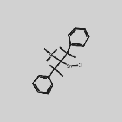 CC(C)(c1ccccc1)[C]([Sn][Cl])(C(C)(C)c1ccccc1)[Si](C)(C)C